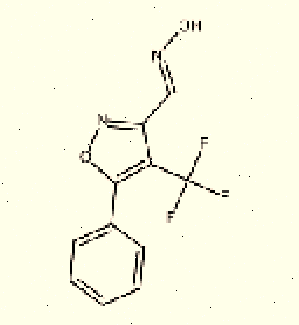 O/N=C/c1noc(-c2ccccc2)c1C(F)(F)F